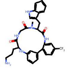 CN1C(=O)CNC(=O)C(CCCN)Nc2cccc(c2)-c2ccc(C(F)(F)F)cc2NC(=O)C1Cc1c[nH]c2ccccc12